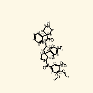 COc1cc(C(=O)N2CCC(CCNC(=O)C3(c4ccccc4)CCNCC3)(c3ccc(F)cc3F)C2)cc(OC)c1OC